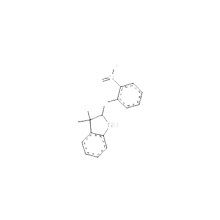 CC1(Br)c2ccccc2NC1Sc1ccccc1[N+](=O)[O-]